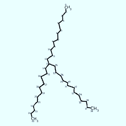 CCCCCCCCCCCCC[C](CCCCCCCCCCCC)CCCCCCCCCCCCC